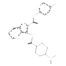 CN(C)C1CCC(C(=O)Nc2c(C(=O)Nc3ccc(Cl)cn3)oc3cccnc23)CC1